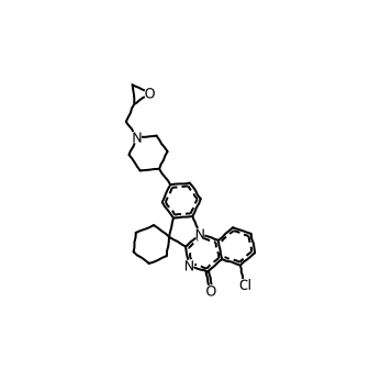 O=c1nc2n(c3cccc(Cl)c13)-c1ccc(C3CCN(CC4CO4)CC3)cc1C21CCCCC1